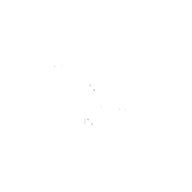 O=C(NC(=O)c1ccccc1Cl)NC1=C[CH]CC=C1